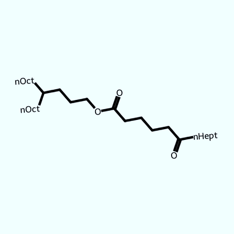 CCCCCCCCC(CCCCCCCC)CCCOC(=O)CCCCC(=O)CCCCCCC